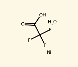 O.O=C(O)C(F)(F)F.[Ni]